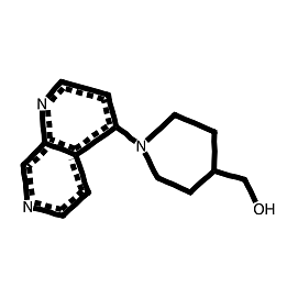 OCC1CCN(c2ccnc3cnccc23)CC1